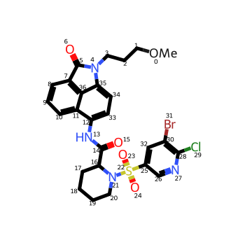 COCCCN1C(=O)c2cccc3c(NC(=O)C4CCCCN4S(=O)(=O)c4cnc(Cl)c(Br)c4)ccc1c23